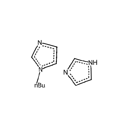 CCCCn1ccnc1.c1c[nH]cn1